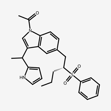 CCC[C@H](Cc1ccc2c(c1)c(C(C)c1ccc[nH]1)cn2C(C)=O)S(=O)(=O)c1ccccc1